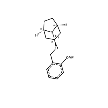 COc1ccccc1CO[C@H]1C[C@H]2CC[C@@H](C1)N2C